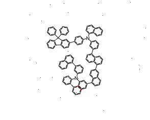 c1ccc(-c2ccccc2N(c2cccc(-c3cccc4ccccc34)c2)c2cccc(-c3cccc4cc(-c5cccc6c(-c7cccc(N(c8ccc(-c9ccc%10c(c9)C(c9ccccc9)(c9ccccc9)c9ccccc9-%10)cc8)c8cccc9ccccc89)c7)cccc56)ccc34)c2)cc1